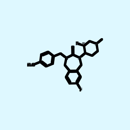 CC(C)COc1ccc(CN2Cc3ccc(F)cc3CN(C3CCN(C)C[C@@H]3F)C2=O)cc1